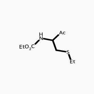 CCOC(=O)NC(CSCC)C(C)=O